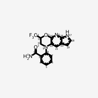 NC(=O)c1ccccc1N1CC(C(F)(F)F)Oc2nc3[nH]ccc3cc21